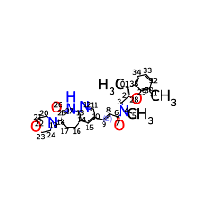 Cc1c(CN(C)C(=O)/C=C/c2cnc3c(c2)CCC(N2CCOCC2)C(=O)N3)oc2c(C)cccc12